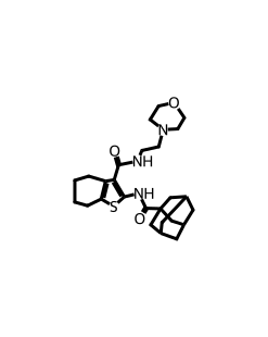 O=C(NCCN1CCOCC1)c1c(NC(=O)C23CC4CC(CC(C4)C2)C3)sc2c1CCCC2